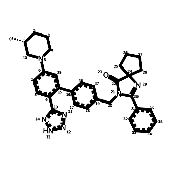 C[C@@H]1CCCN(c2ccc(-c3nn[nH]n3)c(-c3ccc(CN4C(=O)C5(CCCC5)N=C4c4ccccc4)cc3)c2)C1